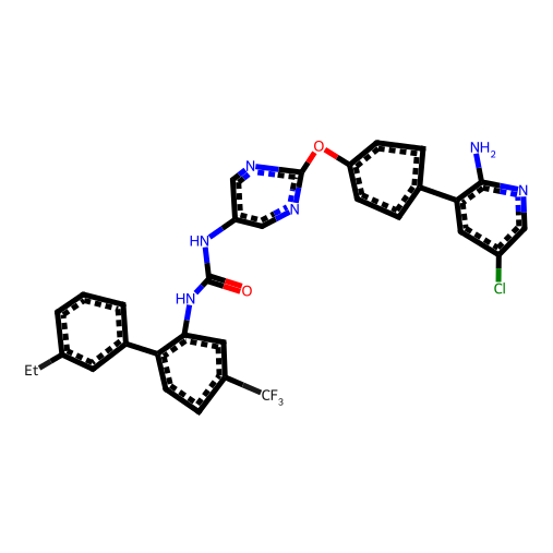 CCc1cccc(-c2ccc(C(F)(F)F)cc2NC(=O)Nc2cnc(Oc3ccc(-c4cc(Cl)cnc4N)cc3)nc2)c1